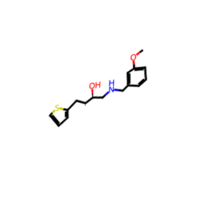 COc1cccc(CNC[C@H](O)[CH]Cc2cccs2)c1